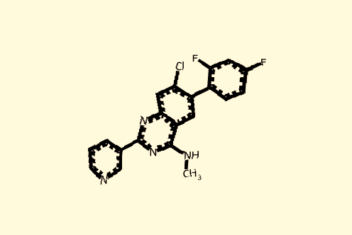 CNc1nc(-c2cccnc2)nc2cc(Cl)c(-c3ccc(F)cc3F)cc12